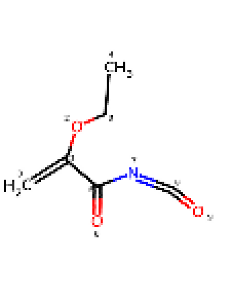 C=C(OCC)C(=O)N=C=O